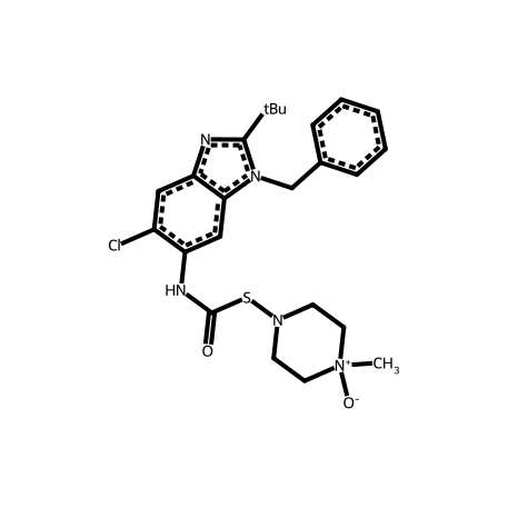 CC(C)(C)c1nc2cc(Cl)c(NC(=O)SN3CC[N+](C)([O-])CC3)cc2n1Cc1ccccc1